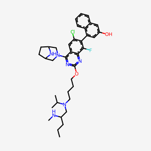 CCCC(CN(CCCCOc1nc(N2CC3CCC(C2)N3)c2cc(Cl)c(-c3cc(O)cc4ccccc34)c(F)c2n1)C(C)C)NC